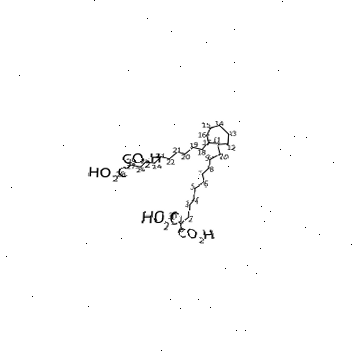 O=C(O)C(CCCCCCCCCC1CCCCCC1CCCCCCCCCC(C(=O)O)C(=O)O)C(=O)O